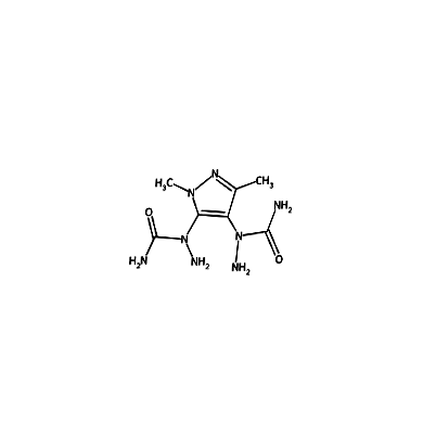 Cc1nn(C)c(N(N)C(N)=O)c1N(N)C(N)=O